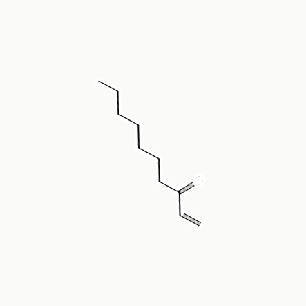 C=CC(=O)CCCCCCC